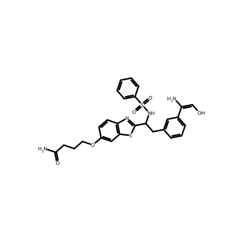 NC(=O)CCCOc1ccc2nc(C(Cc3cccc(/C(N)=C\O)c3)NS(=O)(=O)c3ccccc3)sc2c1